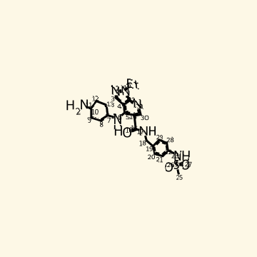 CCn1ncc2c(NC3CCC(N)CC3)c(C(=O)NCc3ccc(NS(C)(=O)=O)cc3)cnc21